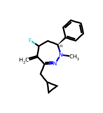 C=C1C(CC2CC2)=NN(C)[C@H](c2ccccc2)CC1F